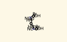 N#C/C(=C/c1ccc(O)c(Br)c1)C(=O)NCc1cccc(CNC(=O)/C(C#N)=C\c2ccc(O)c(Br)c2)c1